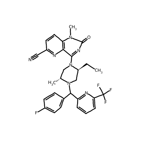 CC[C@H]1CN(C(c2ccc(F)cc2)c2cccc(C(F)(F)F)n2)[C@H](C)CN1c1nc(=O)n(C)c2ccc(C#N)nc12